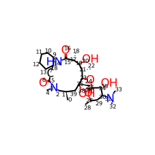 C[C@H]1CN(C)C(=O)CC2(CCCCC2)NC(=O)[C@H](C)[C@@H](O)[C@H](C)[C@@H](O[C@@H]2O[C@H](C)C[C@H](N(C)C)[C@H]2O)[C@](C)(O)C1